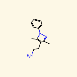 Cc1nn(-c2ccccc2)c(C)c1CCN